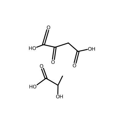 CC(O)C(=O)O.O=C(O)CC(=O)C(=O)O